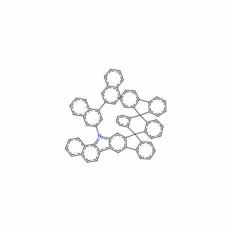 c1ccc2c(c1)-c1ccccc1C21c2ccccc2C2(c3ccccc3-c3cc4c5ccc6ccccc6c5n(-c5cc(-c6ccc7ccccc7c6)c6ccccc6c5)c4cc32)c2ccccc21